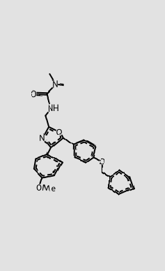 COc1ccc(-c2nc(CNC(=O)N(C)C)oc2-c2ccc(OCc3ccccc3)cc2)cc1